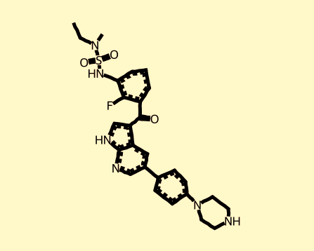 CCN(C)S(=O)(=O)Nc1cccc(C(=O)c2c[nH]c3ncc(-c4ccc(N5CCNCC5)cc4)cc23)c1F